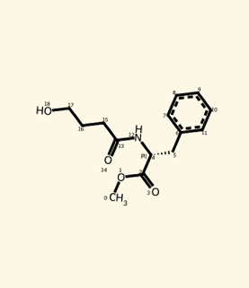 COC(=O)[C@@H](Cc1ccccc1)NC(=O)CCCO